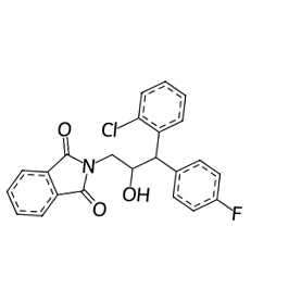 O=C1c2ccccc2C(=O)N1CC(O)C(c1ccc(F)cc1)c1ccccc1Cl